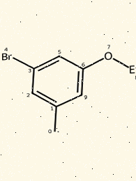 [CH2]c1cc(Br)cc(OCC)c1